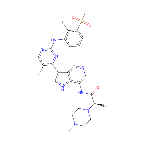 CC[C@H](C(=O)Nc1cncc2c(-c3nc(Nc4cccc(S(C)(=O)=O)c4F)ncc3F)c[nH]c12)N1CCN(C)CC1